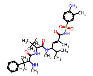 CNC(C(=O)NC(C(=O)N(C)C(/C=C(\C)C(=O)NS(=O)(=O)c1ccc(N)c(C)c1)C(C)C)C(C)(C)C)C(C)(C)c1ccccc1